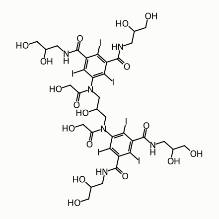 O=C(NCC(O)CO)c1c(I)c(C(=O)NCC(O)CO)c(I)c(N(CC(O)CN(C(=O)CO)c2c(I)c(C(=O)NCC(O)CO)c(I)c(C(=O)NCC(O)CO)c2I)C(=O)CO)c1I